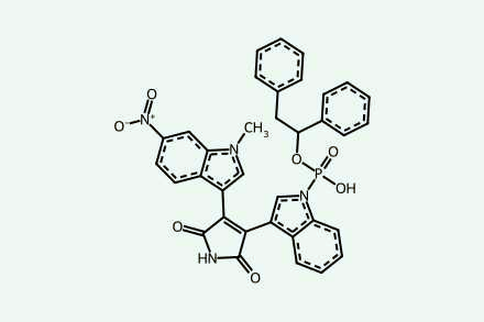 Cn1cc(C2=C(c3cn(P(=O)(O)OC(Cc4ccccc4)c4ccccc4)c4ccccc34)C(=O)NC2=O)c2ccc([N+](=O)[O-])cc21